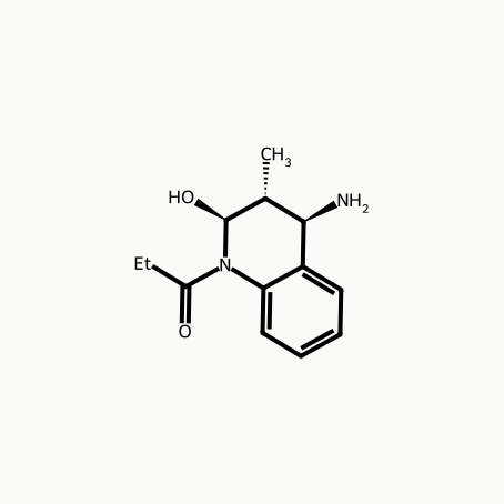 CCC(=O)N1c2ccccc2[C@H](N)[C@@H](C)[C@@H]1O